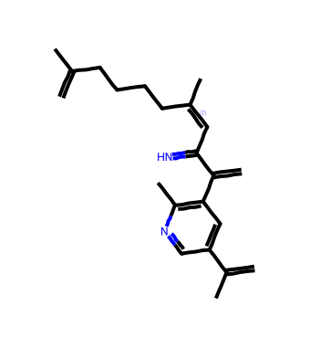 C=C(C)CCCC/C(C)=C\C(=N)C(=C)c1cc(C(=C)C)cnc1C